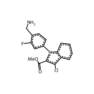 COC(=O)c1c(Cl)c2ccccc2n1-c1ccc(CN)c(F)c1